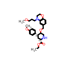 CCOC(=O)[C@@H]1C[C@H](c2ccc(OC)cc2)C(OCc2ccc3c(c2)N(CCCOC)CCO3)CN1